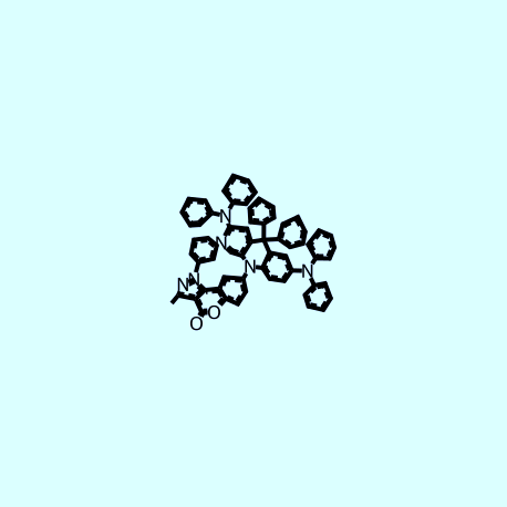 Cc1nn(-c2ccccc2)c2c1c(=O)oc1ccc(N3c4ccc(N(c5ccccc5)c5ccccc5)cc4C(c4ccccc4)(c4ccccc4)c4cc(N(c5ccccc5)c5ccccc5)ncc43)cc12